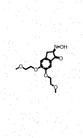 COCCOc1cc2c(cc1OCCOC)C(=O)C(=NO)C2